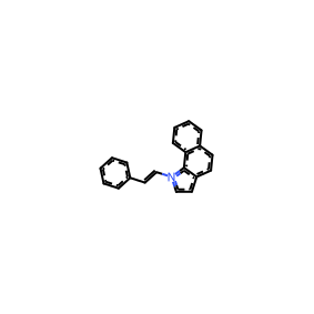 C(=Cn1ccc2ccc3ccccc3c21)c1ccccc1